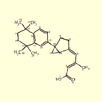 CC(=CC(=O)O)C=C1CCC2(c3ccc4c(c3)C(C)(C)CCC4(C)C)CC12